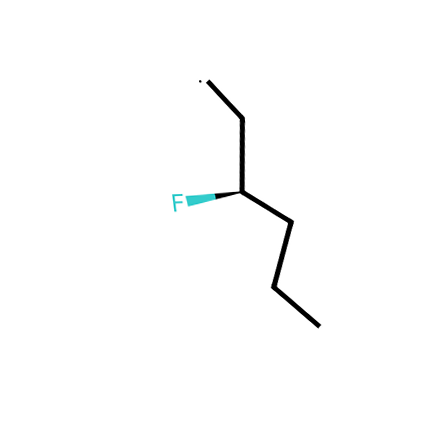 [CH2]C[C@H](F)CCC